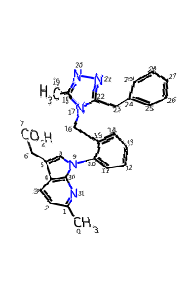 Cc1ccc2c(CC(=O)O)cn(-c3ccccc3Cn3c(C)nnc3Cc3ccccc3)c2n1